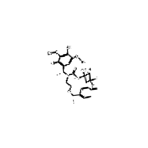 C=C/C=C\C(=C/C)[C@H](C)OCCN(C(=O)NC1(C(=O)O)CC(F)(F)C1)[C@H](C)c1cc(OCC)c(C(C)=O)c(OCC)c1Cl